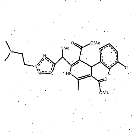 COC(=O)C1=C(C)NC(C(SC)c2nnn(CCN(C)C)n2)=C(C(=O)OC)C1c1cccc(Cl)c1Cl